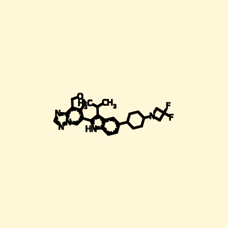 CC(C)c1c(-c2cn3ncnc3c3c2COC3)[nH]c2ccc(C3CCC(N4CC(F)(F)C4)CC3)cc12